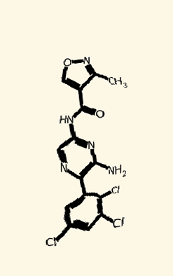 Cc1nocc1C(=O)Nc1cnc(-c2cc(Cl)cc(Cl)c2Cl)c(N)n1